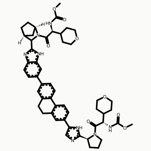 COC(=O)N[C@H](C(=O)N1CCC[C@H]1c1ncc(-c2ccc3c(c2)CCc2cc(-c4ccc5nc(C6[C@H]7CC[C@H](C7)N6C(=O)[C@@H](NC(=O)OC)C6CCOCC6)[nH]c5c4)ccc2-3)[nH]1)C1CCOCC1